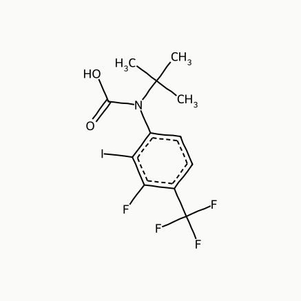 CC(C)(C)N(C(=O)O)c1ccc(C(F)(F)F)c(F)c1I